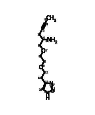 CC#CCC(N)COCCOCCc1c[nH]nn1